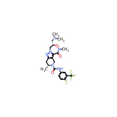 C[C@@H]1Cc2nn3c(c2CN1C(=O)Nc1ccc(F)c(C(F)(F)F)c1)C(=O)N(C)O[C@@H](CN(C)C)C3